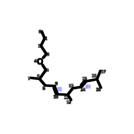 CCCCOCC(C)C/C=C/C(C)C/C=C/C(C)C